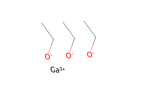 CC[O-].CC[O-].CC[O-].[Ga+3]